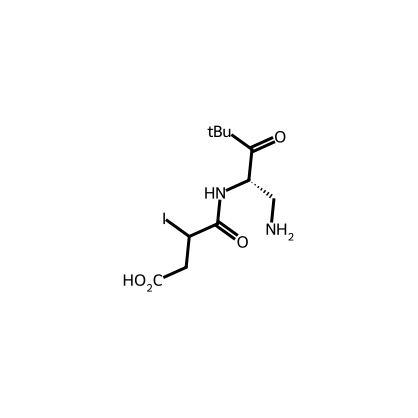 CC(C)(C)C(=O)[C@H](CN)NC(=O)C(I)CC(=O)O